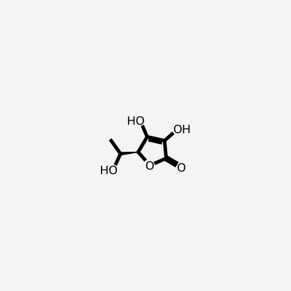 CC(O)[C@@H]1OC(=O)C(O)=C1O